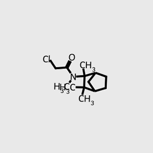 CN(C(=O)CCl)C1(C)C2CCC(C2)C1(C)C